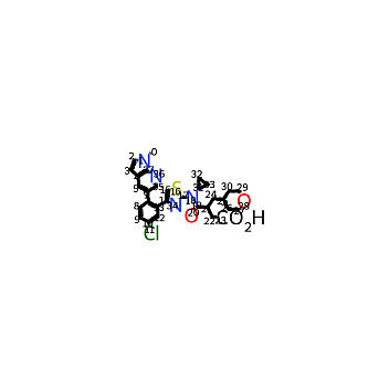 Cn1ccc2cc(-c3ccc(Cl)cc3-c3csc(N(C(=O)C(CC(=O)O)CC4CCOCC4)C4CC4)n3)cnc21